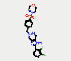 O=S(=O)(c1ccc(CN2Cc3nc(-c4cccc(F)c4F)[nH]c3C=N2)cc1)N1CCOCC1